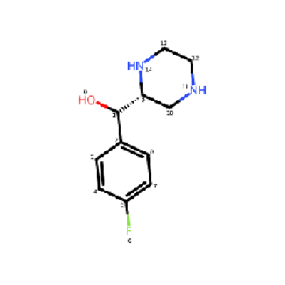 OC(c1ccc(F)cc1)[C@H]1CNCCN1